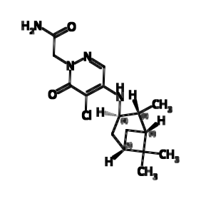 C[C@@H]1[C@H]2C[C@@H](C[C@H]1Nc1cnn(CC(N)=O)c(=O)c1Cl)C2(C)C